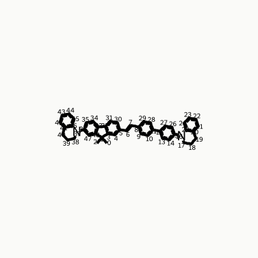 CC1(C)c2cc(/C=C/c3ccc(-c4ccc(N5CCCc6ccccc65)cc4)cc3)ccc2-c2ccc(N3CCCc4ccccc43)cc21